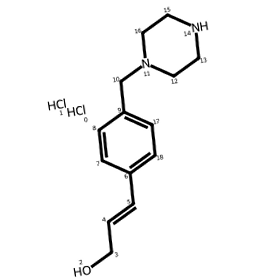 Cl.Cl.OCC=Cc1ccc(CN2CCNCC2)cc1